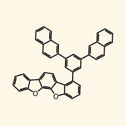 c1ccc2cc(-c3cc(-c4ccc5ccccc5c4)cc(-c4cccc5oc6c(ccc7c8ccccc8oc76)c45)c3)ccc2c1